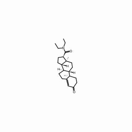 CCN(CC)C(=O)[C@@H]1CC[C@H]2[C@@H]3CCC4=CC(=O)CC[C@]4(C)[C@H]3CC[C@]12C